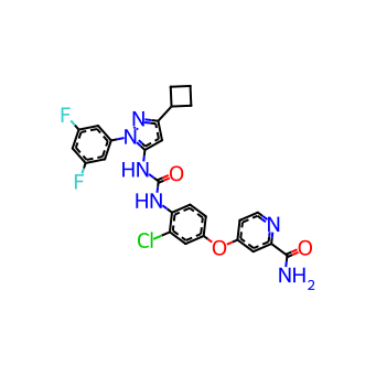 NC(=O)c1cc(Oc2ccc(NC(=O)Nc3cc(C4CCC4)nn3-c3cc(F)cc(F)c3)c(Cl)c2)ccn1